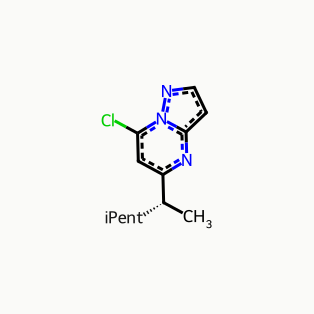 CCCC(C)[C@@H](C)c1cc(Cl)n2nccc2n1